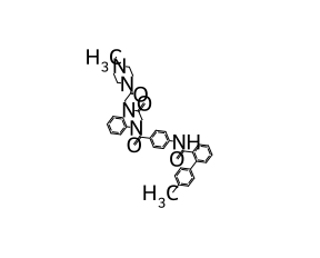 Cc1ccc(-c2ccccc2C(=O)Nc2ccc(C(=O)N3CC(=O)N(CC(=O)N4CCN(C)CC4)c4ccccc43)cc2)cc1